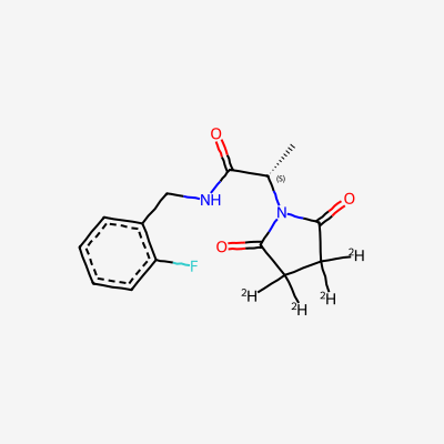 [2H]C1([2H])C(=O)N([C@@H](C)C(=O)NCc2ccccc2F)C(=O)C1([2H])[2H]